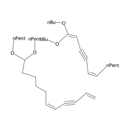 C=CC#C/C=C\CCCCC(OCCCCC)OCCCCC.CCCCC/C=C\C#CC=C(OCCCC)OCCCC